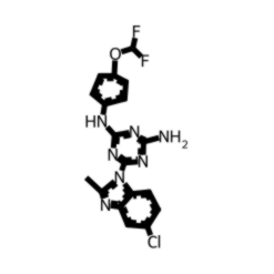 Cc1nc2cc(Cl)ccc2n1-c1nc(N)nc(Nc2ccc(OC(F)F)cc2)n1